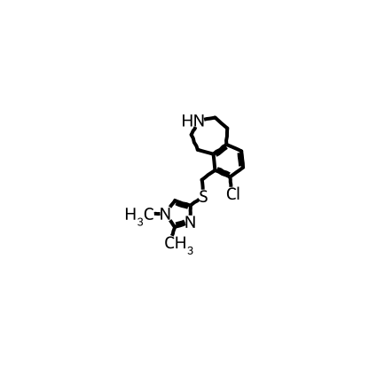 Cc1nc(SCc2c(Cl)ccc3c2CCNCC3)cn1C